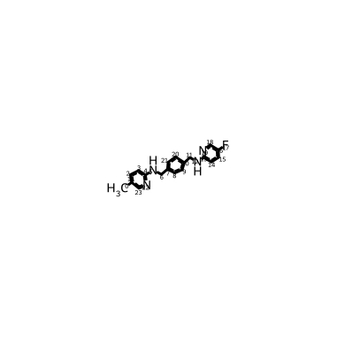 Cc1ccc(NCc2ccc(CNc3ccc(F)cn3)cc2)nc1